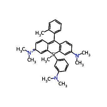 Cc1ccccc1C1=C2C=CC(=[N+](C)C)C=C2[Si](C)(c2cccc(N(C)C)c2)c2cc(N(C)C)ccc21